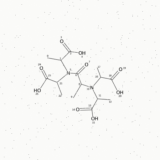 CC(C(=O)O)N(C(=O)C(C)N(C(C)C(=O)O)C(C)C(=O)O)C(C)C(=O)O